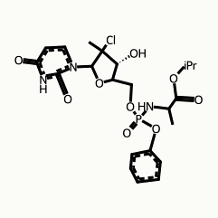 CC(C)OC(=O)C(C)NP(=O)(OCC1OC(n2ccc(=O)[nH]c2=O)C(C)(Cl)[C@@H]1O)Oc1ccccc1